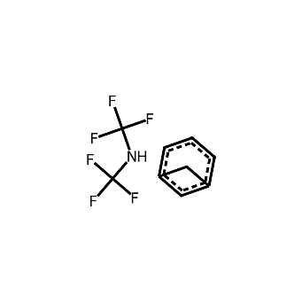 FC(F)(F)NC(F)(F)F.c1cc2cc(c1)C2